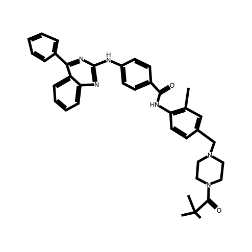 Cc1cc(CN2CCN(C(=O)C(C)(C)C)CC2)ccc1NC(=O)c1ccc(Nc2nc(-c3ccccc3)c3ccccc3n2)cc1